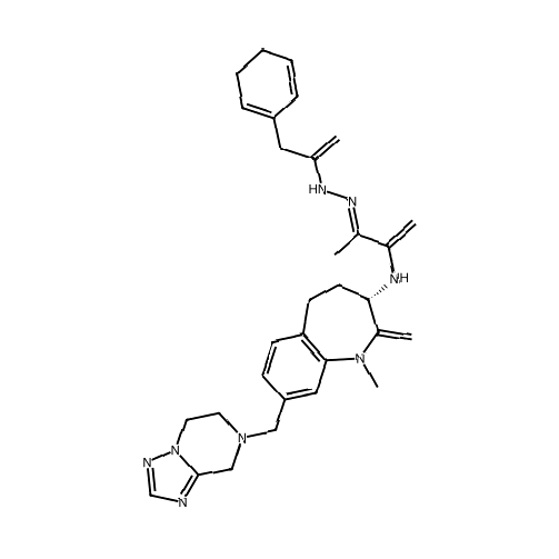 C=C(CC1=CCCC=C1)N/N=C(\C)C(=C)N[C@H]1CCc2ccc(CN3CCn4ncnc4C3)cc2N(C)C1=C